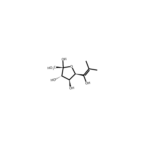 CC(C)=C(O)[C@@H]1O[C@](O)(C(=O)O)[C@@H](O)[C@@H]1O